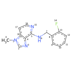 Cn1cnc2c(NCc3ccccc3F)nccc21